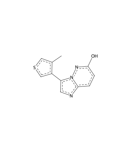 Cc1cscc1-c1cnc2ccc(O)nn12